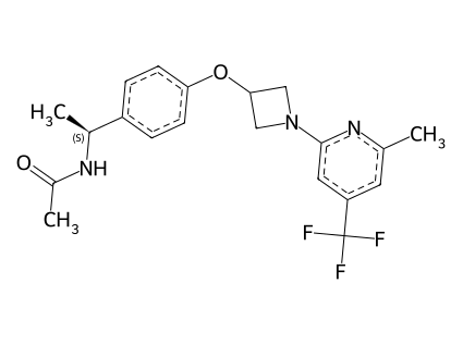 CC(=O)N[C@@H](C)c1ccc(OC2CN(c3cc(C(F)(F)F)cc(C)n3)C2)cc1